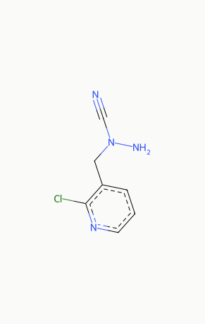 N#CN(N)Cc1cccnc1Cl